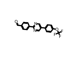 O=Cc1ccc(-c2ncc(-c3ccc(OC(F)(F)F)cc3)cn2)cc1